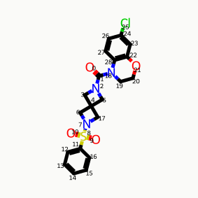 O=C(N1CC2(C1)CN(S(=O)(=O)c1ccccc1)C2)N1CCOc2cc(Cl)ccc21